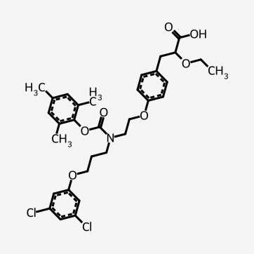 CCOC(Cc1ccc(OCCN(CCCOc2cc(Cl)cc(Cl)c2)C(=O)Oc2c(C)cc(C)cc2C)cc1)C(=O)O